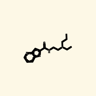 CCCN(CC)CCNC(=O)c1cc2ncccc2s1